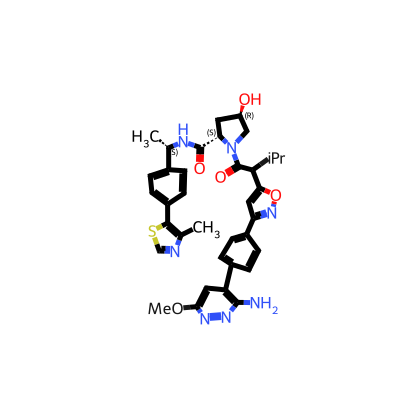 COc1cc(-c2ccc(-c3cc(C(C(=O)N4C[C@H](O)C[C@H]4C(=O)N[C@@H](C)c4ccc(-c5scnc5C)cc4)C(C)C)on3)cc2)c(N)nn1